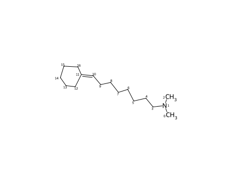 CN(C)CCCCCCCC=C1CCCCC1